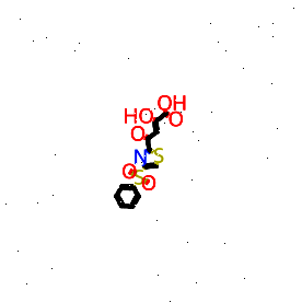 O=C(O)C(O)=CC(=O)c1nc(S(=O)(=O)c2ccccc2)cs1